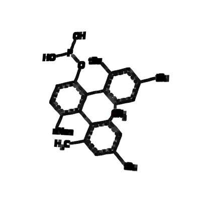 CCCCCCCCCc1ccc(OP(O)O)c(-c2c(C)cc(C(C)(C)C)cc2C(C)(C)C)c1-c1c(C)cc(C(C)(C)C)cc1C(C)(C)C